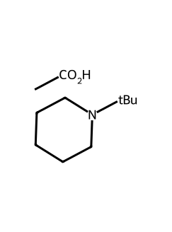 CC(=O)O.CC(C)(C)N1CCCCC1